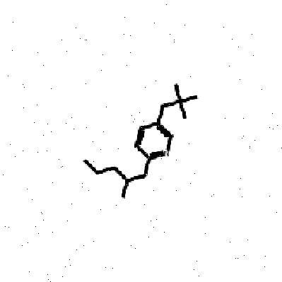 CCCC(C)Cc1ccc(CC(C)(C)C)cn1